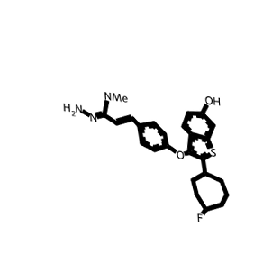 CNC(/C=C/c1ccc(Oc2c(C3CCCC(F)CC3)sc3cc(O)ccc23)cc1)=N\N